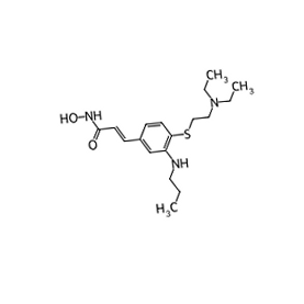 CCCNc1cc(C=CC(=O)NO)ccc1SCCN(CC)CC